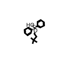 CC(C)(C)CCO[Si](O)(c1ccccc1)c1ccccc1